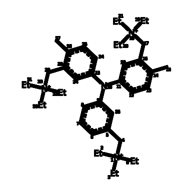 CC[N+](CC)(CC)Cc1cccc(N(c2ccc(C)c(C[N+](CC)(CC)CC)c2)c2ccc(C)c(C[N+](CC)(CC)CC)c2)c1